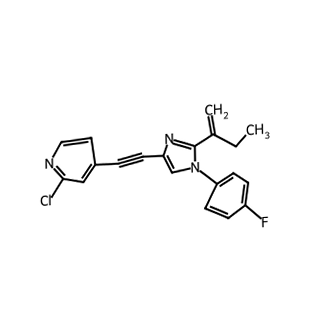 C=C(CC)c1nc(C#Cc2ccnc(Cl)c2)cn1-c1ccc(F)cc1